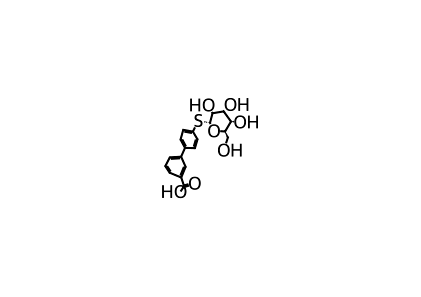 O=C(O)c1cccc(-c2ccc(S[C@H]3O[C@H](CO)[C@@H](O)[C@H](O)[C@@H]3O)cc2)c1